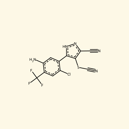 N#CSc1c(C#N)n[nH]c1-c1cc(N)c(C(F)(F)F)cc1Cl